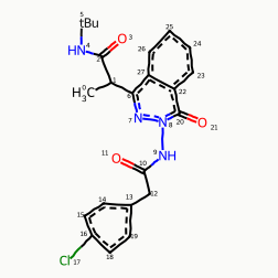 CC(C(=O)NC(C)(C)C)c1nn(NC(=O)Cc2ccc(Cl)cc2)c(=O)c2ccccc12